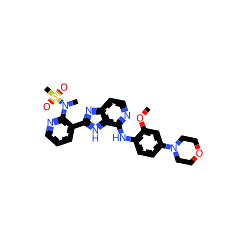 COc1cc(N2CCOCC2)ccc1Nc1nccc2nc(-c3cccnc3N(C)S(C)(=O)=O)[nH]c12